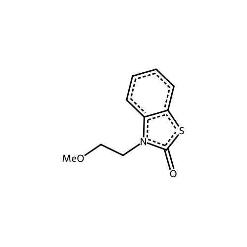 COCCn1c(=O)sc2ccccc21